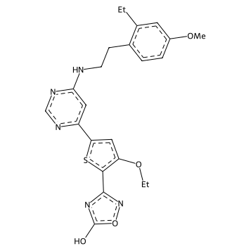 CCOc1cc(-c2cc(NCCc3ccc(OC)cc3CC)ncn2)sc1-c1noc(O)n1